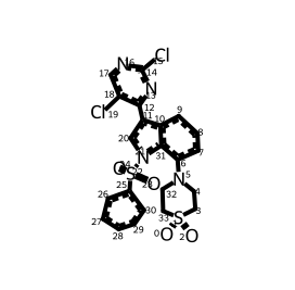 O=S1(=O)CCN(c2cccc3c(-c4nc(Cl)ncc4Cl)cn(S(=O)(=O)c4ccccc4)c23)CC1